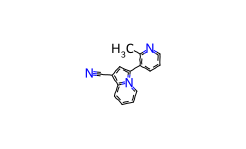 Cc1ncccc1-c1cc(C#N)c2ccccn12